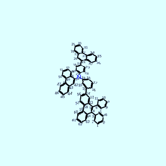 c1ccc(-c2c(-c3ccccc3)c3cc(-c4cccc(N(c5ccc(-c6cc7ccccc7c7ccccc67)cc5)c5cc6ccccc6c6ccccc56)c4)ccc3c3ccccc23)cc1